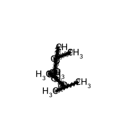 CCCCCCCCC(CCCCCC)OC(=O)CCCCC(=O)OC(COC(=O)CCCCCOC(=O)C(CCCCCC)CCCCCCCC)CN(C)C